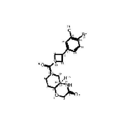 O=C1COC2CCN(C(=O)N3CC(c4ccc(Br)c(Cl)c4)C3)C[C@H]2N1